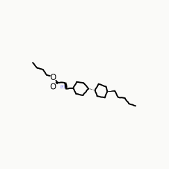 CCCCC[C@H]1CC[C@H](C2CCC(/C=C/C(=O)OCCCC)CC2)CC1